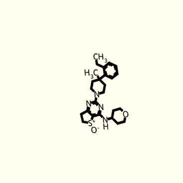 CCc1ccccc1C1(C)CCN(c2nc3c(c(NC4CCOCC4)n2)[S+]([O-])CC3)CC1